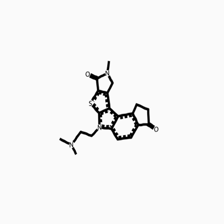 CN(C)CCn1c2ccc3c(c2c2c4c(sc21)C(=O)N(C)C4)CCC3=O